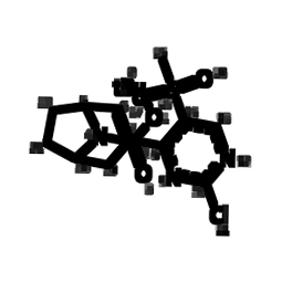 CC(C)(C)OC(=O)N1C2C=C(c3nc(Cl)ncc3S(C)(=O)=O)CC1CC2